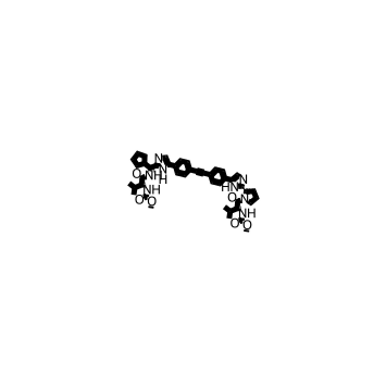 COC(=O)N[C@H](C(=O)N[C@H](c1ncc(-c2ccc(C#Cc3ccc(-c4cnc([C@@H]5CCCN5C(=O)[C@@H](NC(=O)OC)C(C)C)[nH]4)cc3)cc2)[nH]1)C1CCCC1)C(C)C